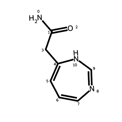 NC(=O)CC1=CC=CN=CN1